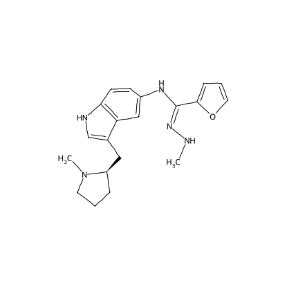 CNN=C(Nc1ccc2[nH]cc(C[C@H]3CCCN3C)c2c1)c1ccco1